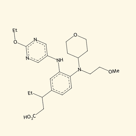 CCOc1ncc(Nc2cc(C(CC)CC(=O)O)ccc2N(CCOC)C2CCOCC2)cn1